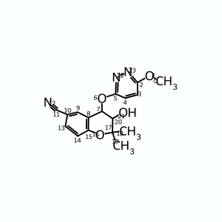 COc1ccc(OC2c3cc(C#N)ccc3OC(C)(C)C2O)nn1